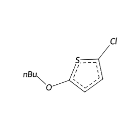 CCCCOc1ccc(Cl)s1